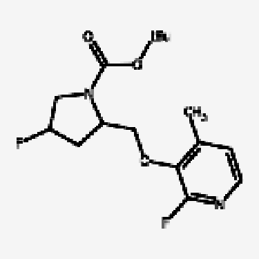 Cc1ccnc(F)c1OCC1CC(F)CN1C(=O)OC(C)(C)C